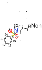 CCCCCCCCCCCCN(C(C)C)S(=O)(=O)c1ccccc1